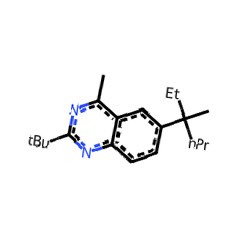 CCCC(C)(CC)c1ccc2nc(C(C)(C)C)nc(C)c2c1